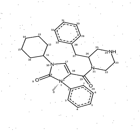 C[N@+]1(c2ccccc2)C(=O)N(C2CCCCC2)C=C1C(=O)N1CCNCC1Cc1ccccc1